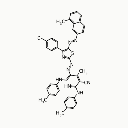 CC(/C(=C/Nc1ccc(C)cc1)N=Nc1nc(-c2ccc(Cl)cc2)c(N=Nc2ccc3cccc(C)c3c2)s1)=C(\C#N)C(=N)Nc1ccc(C)cc1